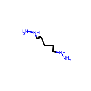 NNC=CCCCNN